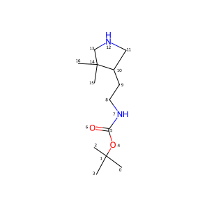 CC(C)(C)OC(=O)NCCC1CNCC1(C)C